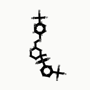 CC1(S(=O)(=O)c2cccc(C(F)(F)F)c2)CCOC(COc2ccc(C(F)(F)F)nc2)C1